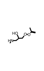 C=C(C)OOCC(O)CNC